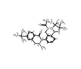 CC(=O)OCc1c(B2OC(C)(C)C(C)(C)O2)cccc1N1C(=O)c2ccc(C(C)(C)C)cc2CN1C